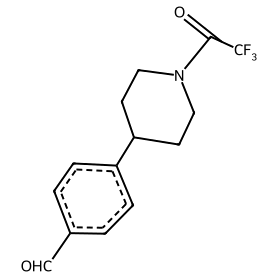 O=Cc1ccc(C2CCN(C(=O)C(F)(F)F)CC2)cc1